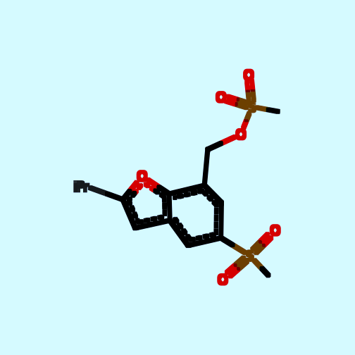 CC(C)c1cc2cc(S(C)(=O)=O)cc(COS(C)(=O)=O)c2o1